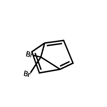 BrC1(Br)C2=CC=C1C=C2